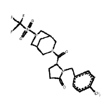 Cc1ccc(CN2C(=O)CC[C@H]2C(=O)N2CC3CC(C2)CN(S(=O)(=O)C(F)(F)F)C3)cc1